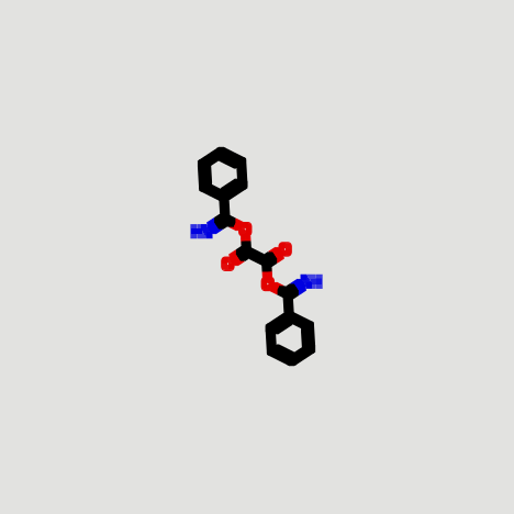 N=C(OC(=O)C(=O)OC(=N)c1ccccc1)c1ccccc1